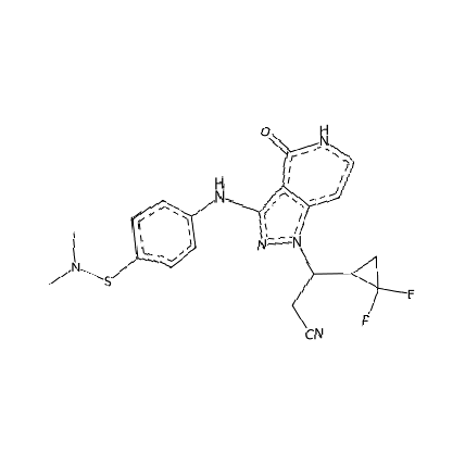 CN(C)Sc1ccc(Nc2nn(C(CC#N)C3CC3(F)F)c3cc[nH]c(=O)c23)cc1